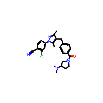 Cc1nn(-c2ccc(C#N)c(Cl)c2)c(C)c1Cc1ccc(C(=O)N2CCC(N(C)C)C2)cc1